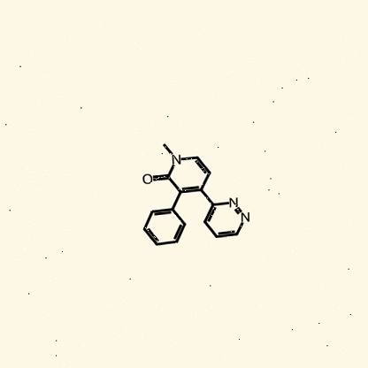 Cn1ccc(-c2cccnn2)c(-c2ccccc2)c1=O